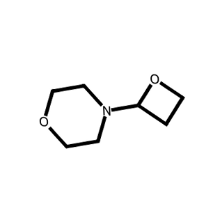 C1CN([C]2CCO2)CCO1